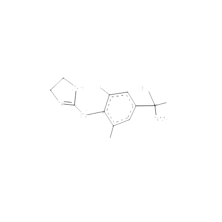 CCC(Cl)(NC)c1cc(Cl)c(NC2=NCCN2)c(Cl)c1